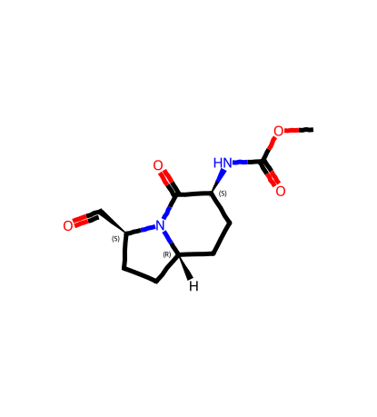 COC(=O)N[C@H]1CC[C@@H]2CC[C@@H](C=O)N2C1=O